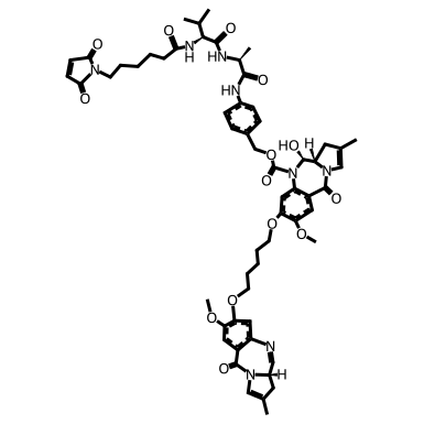 COc1cc2c(cc1OCCCCCOc1cc3c(cc1OC)C(=O)N1C=C(C)C[C@H]1[C@H](O)N3C(=O)OCc1ccc(NC(=O)[C@H](C)NC(=O)[C@@H](NC(=O)CCCCCN3C(=O)C=CC3=O)C(C)C)cc1)N=C[C@@H]1CC(C)=CN1C2=O